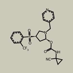 N#CC1(NC(=O)O[C@H]2C[C@@H](S(=O)(=O)c3ccccc3C(F)(F)F)CN2Cc2ccncc2)CC1